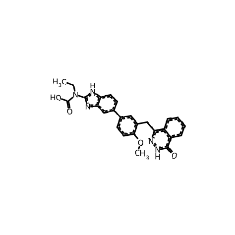 CCN(C(=O)O)c1nc2cc(-c3ccc(OC)c(Cc4n[nH]c(=O)c5ccccc45)c3)ccc2[nH]1